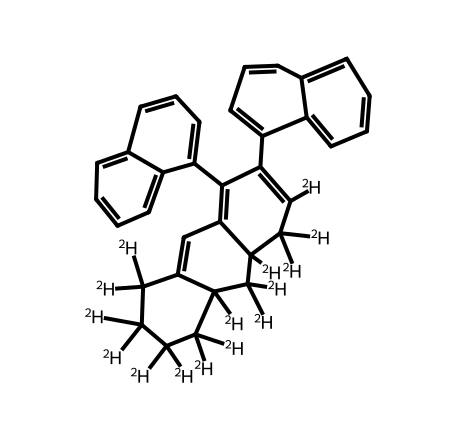 [2H]C1=C(c2cccc3ccccc23)C(c2cccc3ccccc23)=C2C=C3C([2H])([2H])C([2H])([2H])C([2H])([2H])C([2H])([2H])C3([2H])C([2H])([2H])C2([2H])C1([2H])[2H]